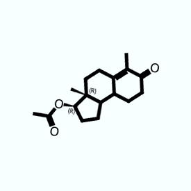 CC(=O)O[C@@H]1CCC2C3CCC(=O)C(C)=C3CC[C@]21C